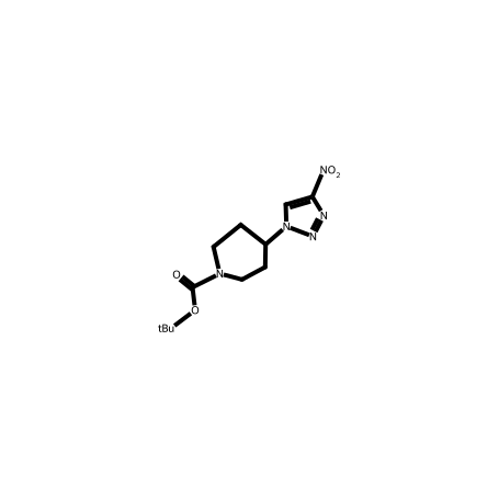 CC(C)(C)OC(=O)N1CCC(n2cc([N+](=O)[O-])nn2)CC1